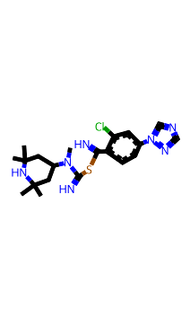 CN(C(=N)SC(=N)c1ccc(-n2cncn2)cc1Cl)C1CC(C)(C)NC(C)(C)C1